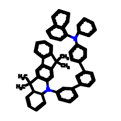 CC1(C)c2ccccc2-c2cc3c(cc21)N(c1cccc(-c2cccc(-c4ccc(N(c5ccccc5)c5cccc6ccccc56)cc4)c2)c1)C1C=CC=CC1C3(C)C